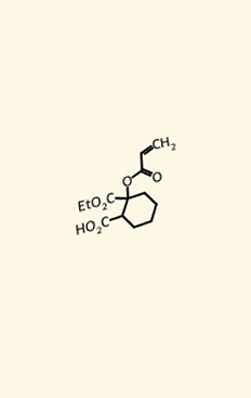 C=CC(=O)OC1(C(=O)OCC)CCCCC1C(=O)O